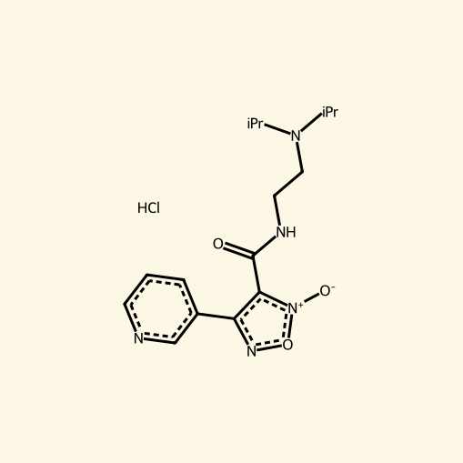 CC(C)N(CCNC(=O)c1c(-c2cccnc2)no[n+]1[O-])C(C)C.Cl